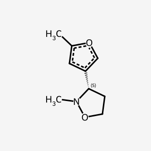 Cc1cc([C@@H]2CCON2C)co1